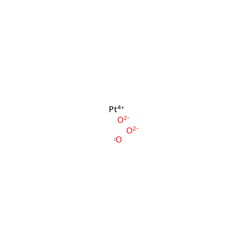 [O-2].[O-2].[O].[Pt+4]